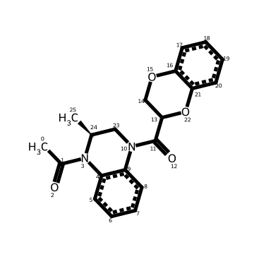 CC(=O)N1c2ccccc2N(C(=O)C2COc3ccccc3O2)C[C@@H]1C